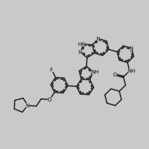 O=C(CC1CCCCC1)Nc1cncc(-c2cnc3[nH]nc(-c4cc5c(-c6cc(F)cc(OCCN7CCCC7)c6)cccc5[nH]4)c3c2)c1